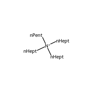 CCCCCCC[N+](CCCCC)(CCCCCCC)CCCCCCC